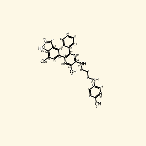 N#Cc1ccc(NCCCNc2nc(-c3ccccc3)c(-c3cc(Cl)c4[nH]ncc4c3)nc2O)cn1